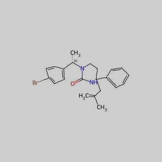 C=C(C)CC1(c2ccccc2)CCN([C@@H](C)c2ccc(Br)cc2)C(=O)N1